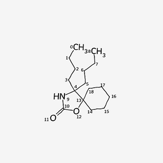 CCCCC1(CCCC)NC(=O)OC12CCCCC2